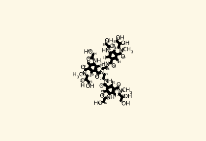 CN(CC(O)CO)C(=O)c1c(I)c(NC(=O)CO)c(I)c(C(=O)NCCN(CCNC(=O)c2c(I)c(NC(=O)CO)c(I)c(C(=O)N(C)CC(O)CO)c2I)C(=O)c2c(I)c(NC(=O)CO)c(I)c(C(=O)N(C)CC(O)CO)c2I)c1I